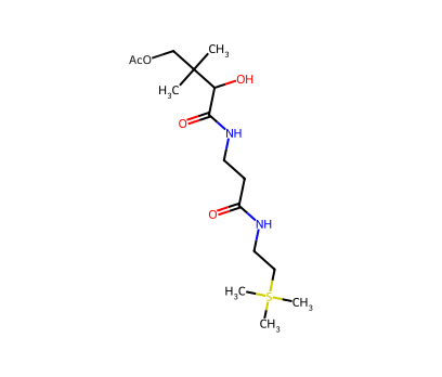 CC(=O)OCC(C)(C)C(O)C(=O)NCCC(=O)NCCS(C)(C)C